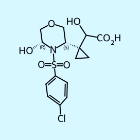 O=C(O)C(O)C1([C@H]2COC[C@@H](O)N2S(=O)(=O)c2ccc(Cl)cc2)CC1